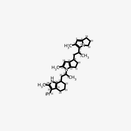 Cc1cc2n(c1C(C)CC1CCc3c1cc(C)n3C(C)CC1CCCc3c1[nH]c(C)c3C(C)C)CCC2